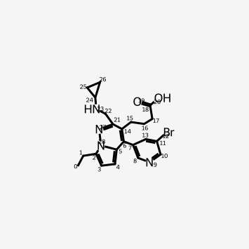 CCc1ccc2c(-c3cncc(Br)c3)c(CCCC(=O)O)c(CNC3CC3)nn12